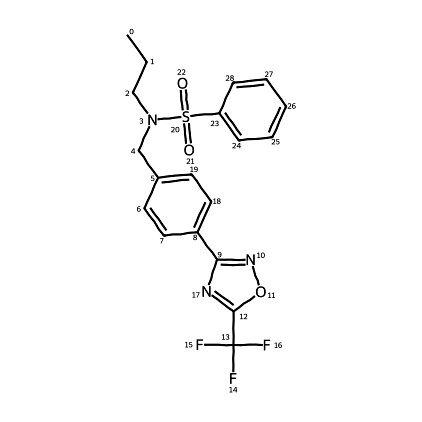 CCCN(Cc1ccc(-c2noc(C(F)(F)F)n2)cc1)S(=O)(=O)c1ccccc1